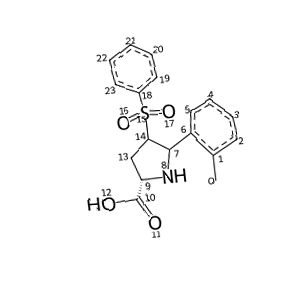 Cc1ccccc1C1N[C@H](C(=O)O)CC1S(=O)(=O)c1ccccc1